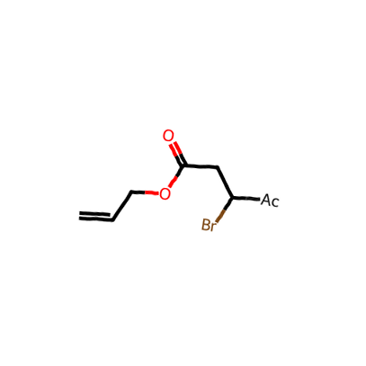 C=CCOC(=O)CC(Br)C(C)=O